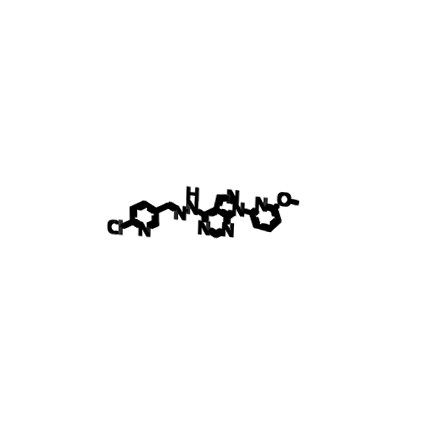 COc1cccc(-n2ncc3c(N/N=C/c4ccc(Cl)nc4)ncnc32)n1